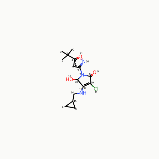 CC(C)(C)c1cc(N2C(=O)C(Cl)=C(NCC3CC3)C2O)no1